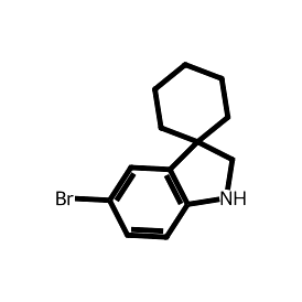 Brc1ccc2c(c1)C1(CCCCC1)CN2